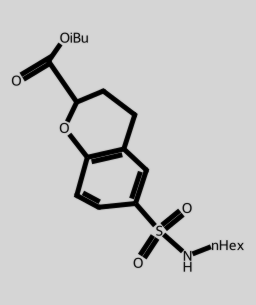 CCCCCCNS(=O)(=O)c1ccc2c(c1)CCC(C(=O)OCC(C)C)O2